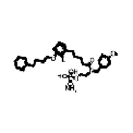 COc1ccc(CN(CCOP(=O)(O)O)C(=O)CCCCc2cccc(OCCCCc3ccccc3)c2Cl)cc1.N